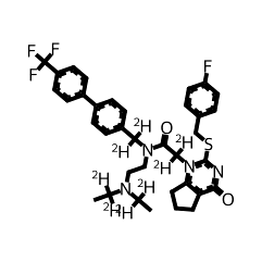 [2H]C([2H])(C)N(CCN(C(=O)C([2H])([2H])n1c(SCc2ccc(F)cc2)nc(=O)c2c1CCC2)C([2H])([2H])c1ccc(-c2ccc(C(F)(F)F)cc2)cc1)C([2H])([2H])C